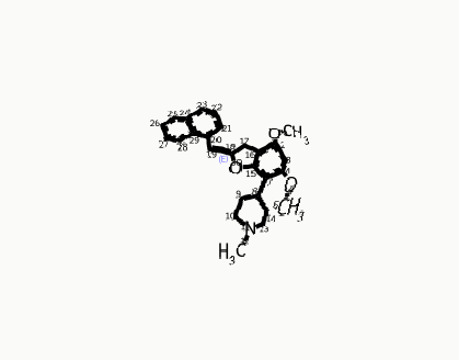 COc1cc(OC)c(C2CCN(C)CC2)c2c1C/C(=C\c1cccc3ccccc13)O2